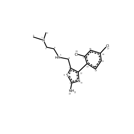 CN(C)CCNCc1sc(N)nc1-c1ccc(Cl)cc1Cl